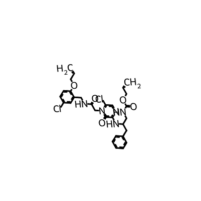 C=CCOC(=O)NCC(Cc1ccccc1)Nc1ncc(Cl)n(CC(=O)NCc2cc(Cl)ccc2OCC=C)c1=O